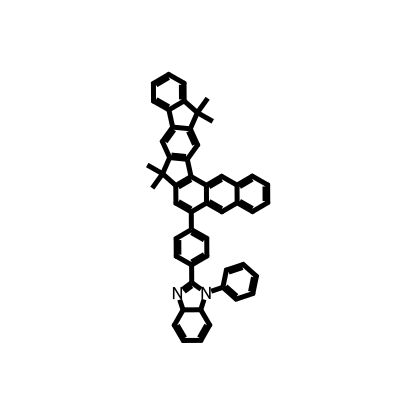 CC1(C)c2ccccc2-c2cc3c(cc21)-c1c(cc(-c2ccc(C4=NC5C=CC=CC5N4c4ccccc4)cc2)c2cc4ccccc4cc12)C3(C)C